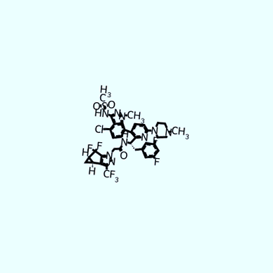 CN1CCN(c2ccc(-c3ccc(Cl)c4c(NS(C)(=O)=O)nn(C)c34)c([C@H](Cc3cc(F)cc(F)c3)NC(=O)Cn3nc(C(F)(F)F)c4c3C(F)(F)[C@@H]3C[C@H]43)n2)CC1